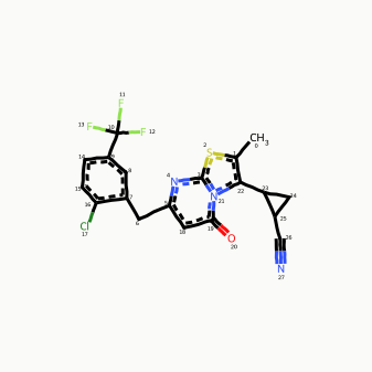 Cc1sc2nc(Cc3cc(C(F)(F)F)ccc3Cl)cc(=O)n2c1C1CC1C#N